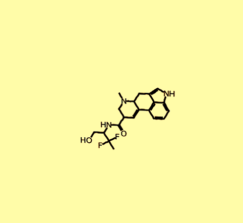 CN1CC(C(=O)NC(CO)C(C)(F)F)C=C2c3cccc4[nH]cc(c34)CC21